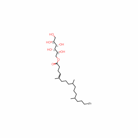 CC(=CCCC(=O)OC[C@H](O)[C@H](O)[C@@H](O)[C@@H](O)CO)CCCC(C)CCCC(C)CCCC(C)C